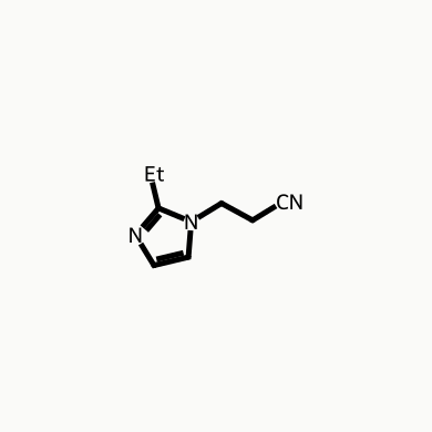 CCc1nccn1CCC#N